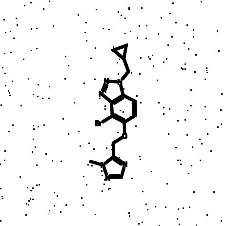 Cn1ncnc1COc1ccc2c(nnn2CC2CC2)c1Br